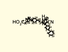 N#Cc1c(-c2ccc(-c3ccccc3)cc2)nc(SCc2ccc(-n3cc(CC(=O)O)nn3)cc2)[nH]c1=O